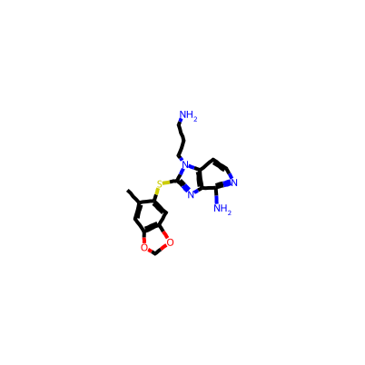 Cc1cc2c(cc1Sc1nc3c(N)nccc3n1CCCN)OCO2